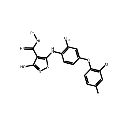 CC(C)NC(=N)c1c(O)nsc1Nc1ccc(Oc2ccc(F)cc2Cl)cc1C(F)(F)F